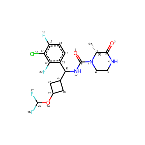 C[C@@H]1C(=O)NCCN1C(=O)NC(c1ccc(F)c(Cl)c1F)C1CC(OC(F)F)C1